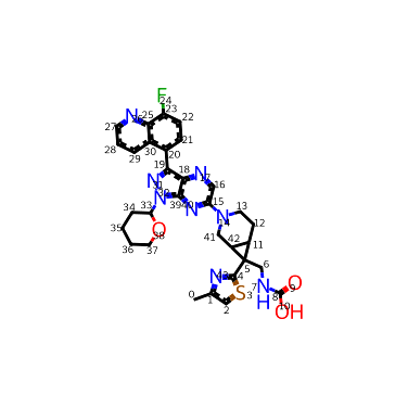 Cc1csc(C2(CNC(=O)O)C3CCN(c4cnc5c(-c6ccc(F)c7ncccc67)nn(C6CCCCO6)c5n4)CC32)n1